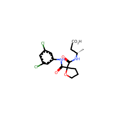 C[C@@H](CC(=O)O)NC(=O)C1(C(=O)Nc2cc(Cl)cc(Cl)c2)CCCO1